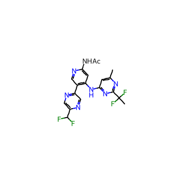 CC(=O)Nc1cc(Nc2cc(C)nc(C(C)(F)F)n2)c(-c2cnc(C(F)F)cn2)cn1